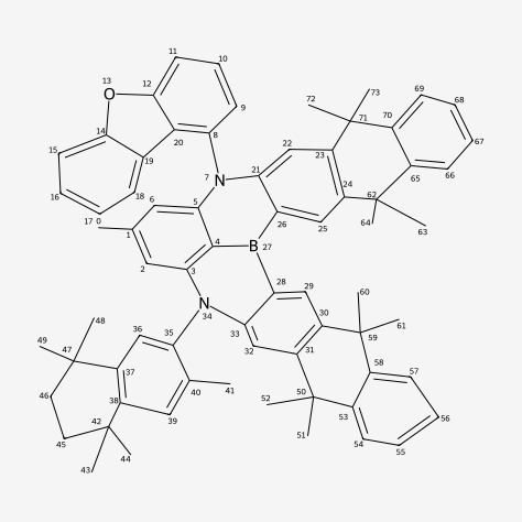 Cc1cc2c3c(c1)N(c1cccc4oc5ccccc5c14)c1cc4c(cc1B3c1cc3c(cc1N2c1cc2c(cc1C)C(C)(C)CCC2(C)C)C(C)(C)c1ccccc1C3(C)C)C(C)(C)c1ccccc1C4(C)C